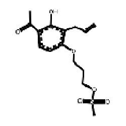 C=CCc1c(OCCCOS(C)(=O)=O)ccc(C(C)=O)c1O